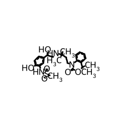 CC(C)(CCN1C(=O)OC(C)(C)c2ccccc21)NCC(O)c1ccc(O)c(NS(C)(=O)=O)c1